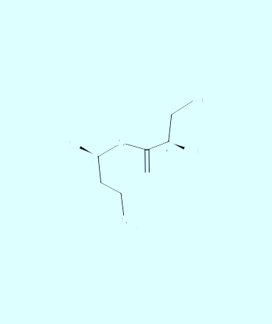 CC(=O)[C@H](CCN)NC(=O)[C@H](C)CC(C)C